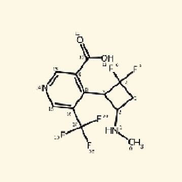 CNC1CC(F)(F)C1c1c(C(=O)O)cncc1C(F)(F)F